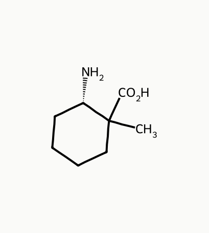 CC1(C(=O)O)CCCC[C@@H]1N